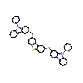 c1ccc(-n2c3ccccc3c3cc(Cc4ccc5sc6ccc(Cc7ccc8c9ccccc9n(-c9ccccc9)c8c7)cc6c5c4)ccc32)cc1